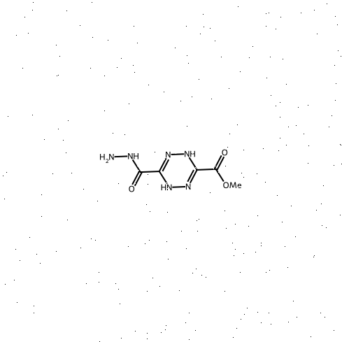 COC(=O)C1=NNC(C(=O)NN)=NN1